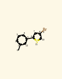 Cc1cccc(-c2cc(Br)cs2)c1